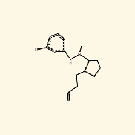 C=CCCC1CCCC1N(C)Nc1cccc(Cl)n1